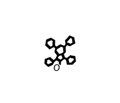 O=Cc1c(-c2ccccc2)c2cc(-c3ccccc3)cc(-c3ccccc3)cc-2c1-c1ccccc1